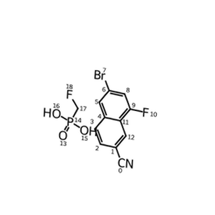 N#Cc1ccc2cc(Br)cc(F)c2c1.O=P(O)(O)CF